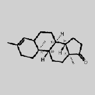 CC1=CC2CC[C@@H]3[C@H](CC[C@]4(C)C(=O)CC[C@@H]34)[C@@]2(C)CC1